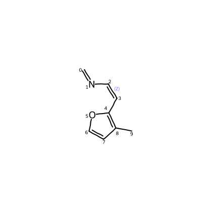 C=N/C=C\c1occc1C